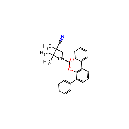 CC(C)(C)C(C)(C#N)CCC(=O)Oc1c(-c2ccccc2)cccc1-c1ccccc1